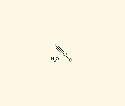 N#[N+][O-].O